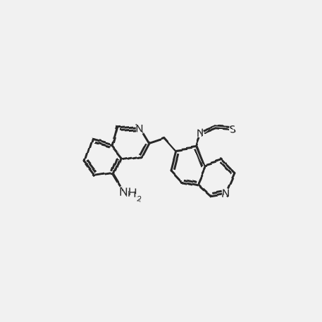 Nc1cccc2cnc(Cc3ccc4cnccc4c3N=C=S)cc12